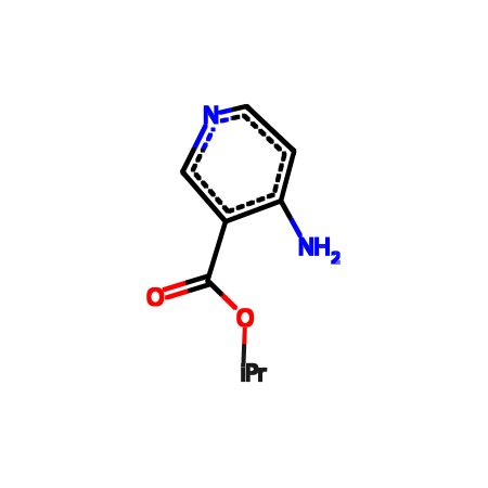 CC(C)OC(=O)c1cnccc1N